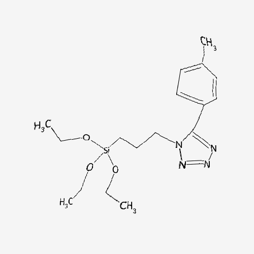 CCO[Si](CCCn1nnnc1-c1ccc(C)cc1)(OCC)OCC